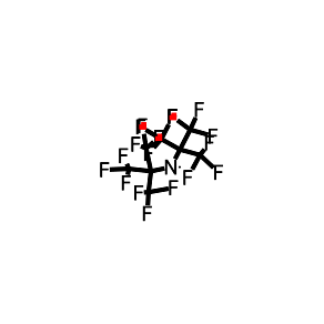 FC(F)(F)C([N]C(C(F)(F)F)(C(F)(F)F)C(F)(F)F)(C(F)(F)F)C(F)(F)F